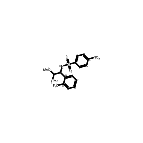 COC(OC)C(NS(=O)(=O)c1ccc([N+](=O)[O-])cc1)c1ccccc1C(F)(F)F